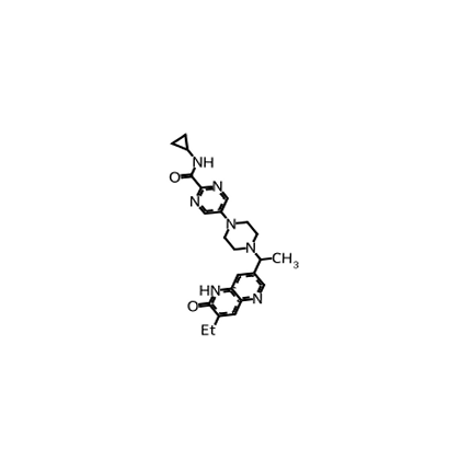 CCc1cc2ncc(C(C)N3CCN(c4cnc(C(=O)NC5CC5)nc4)CC3)cc2[nH]c1=O